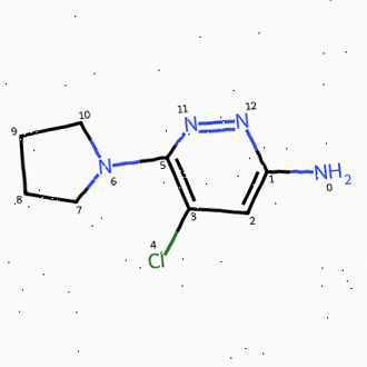 Nc1cc(Cl)c(N2CCCC2)nn1